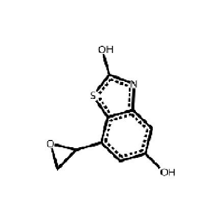 Oc1cc(C2CO2)c2sc(O)nc2c1